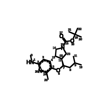 CNc1ccc(OC(CC(C)C)[C@H]2CCN(C(=O)OC(C)(C)C)C2)c(C)n1